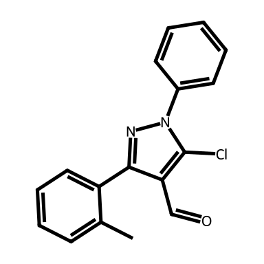 Cc1ccccc1-c1nn(-c2ccccc2)c(Cl)c1C=O